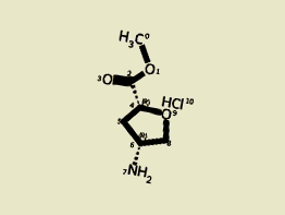 COC(=O)[C@H]1C[C@@H](N)CO1.Cl